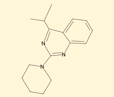 CC(C)c1nc(N2CCCCC2)nc2ccccc12